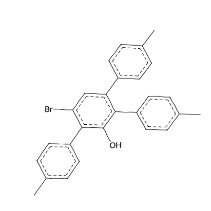 Cc1ccc(-c2cc(Br)c(-c3ccc(C)cc3)c(O)c2-c2ccc(C)cc2)cc1